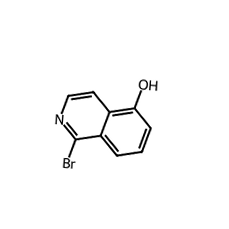 Oc1cccc2c(Br)nccc12